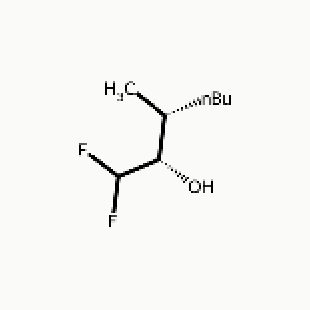 CCCC[C@@H](C)[C@H](O)C(F)F